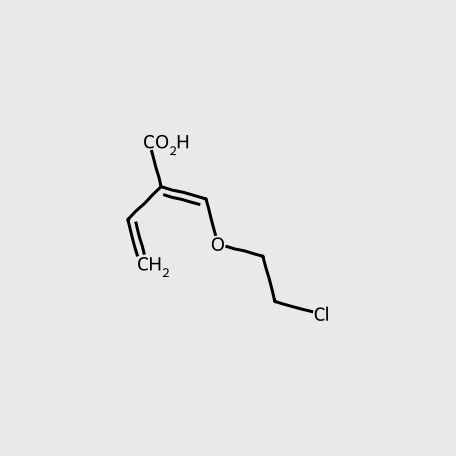 C=CC(=COCCCl)C(=O)O